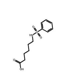 O=C(O)CCCCCNS(=O)(=O)c1ccccc1